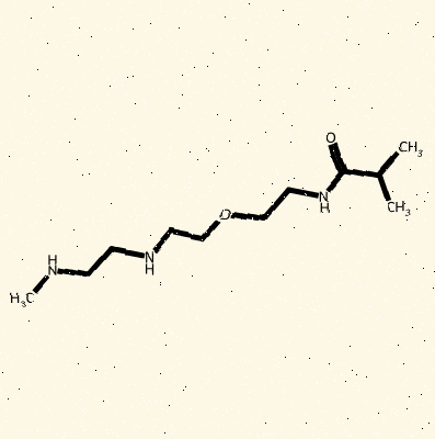 CNCCNCCOCCNC(=O)C(C)C